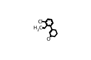 C=Cc1c(Cl)cccc1C1=CC(=O)CCC1